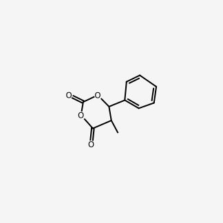 CC1C(=O)OC(=O)OC1c1ccccc1